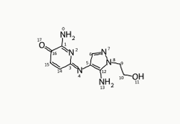 NC1=N/C(=N\c2cnn(CCO)c2N)C=CC1=O